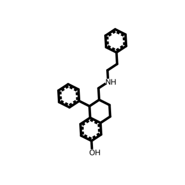 Oc1ccc2c(c1)CCC(CNCCc1ccccc1)C2c1ccccc1